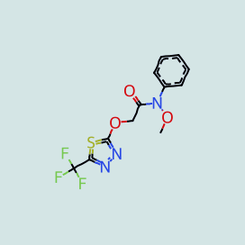 CON(C(=O)COc1nnc(C(F)(F)F)s1)c1ccccc1